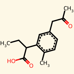 CCC(C(=O)O)c1cc(CC(C)=O)ccc1C